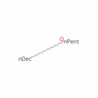 CCCCCCCCCCCCCCCCCCCCCCCCCCC(=O)CCCCC